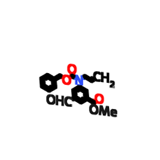 C=CCN(C(=O)OCc1ccccc1)c1cc(C=O)cc(C(=O)OC)c1